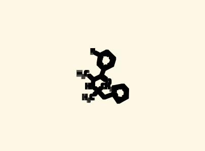 CC(NC(C)(C)Cc1ccccc1)C(=O)c1cccc(F)c1